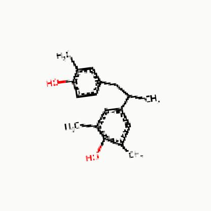 Cc1cc(CC(C)c2cc(C)c(O)c(C)c2)ccc1O